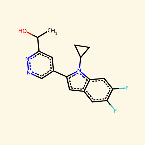 CC(O)c1cc(-c2cc3cc(F)c(F)cc3n2C2CC2)cnn1